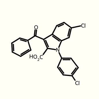 O=C(c1ccccc1)c1c(C(=O)O)n(-c2ccc(Cl)cc2)c2cc(Cl)ccc12